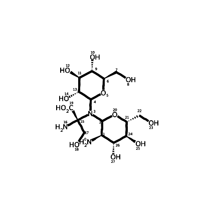 N[C@H]1C(N(C2O[C@H](CO)[C@@H](O)[C@H](O)[C@H]2O)[C@@](N)(CO)C(=O)O)O[C@H](CO)[C@@H](O)[C@@H]1O